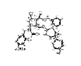 COc1ccc(CN(C(=O)C(F)(F)F)[C@H]2C[C@@H](C(F)(F)F)N(C(=O)OCc3ccccc3)[C@H]2COC2CCC3(c4ncc(F)cn4)CC3C2)cc1